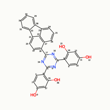 Oc1ccc(-c2nc(-c3ccc(O)cc3O)nc(-c3ccc4c5c(cccc35)-c3ccccc3-4)n2)c(O)c1